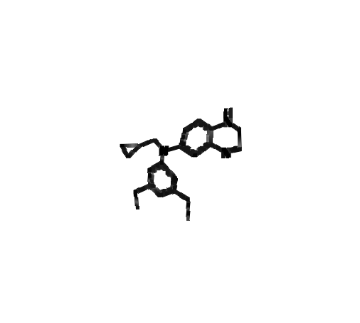 CCc1cc(CC)cc(N(CC2CC2)c2ccc3c(c2)N=CCN3)c1